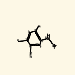 Cc1cc(C)c(NBr)cc1F